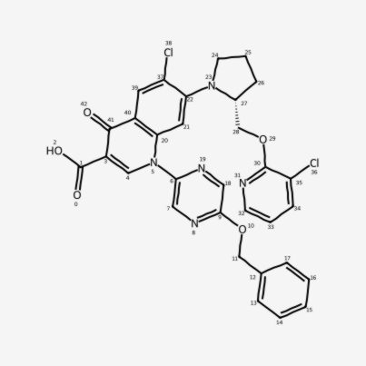 O=C(O)c1cn(-c2cnc(OCc3ccccc3)cn2)c2cc(N3CCC[C@@H]3COc3ncccc3Cl)c(Cl)cc2c1=O